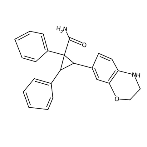 NC(=O)C1(c2ccccc2)C(c2ccccc2)C1c1ccc2c(c1)OCCN2